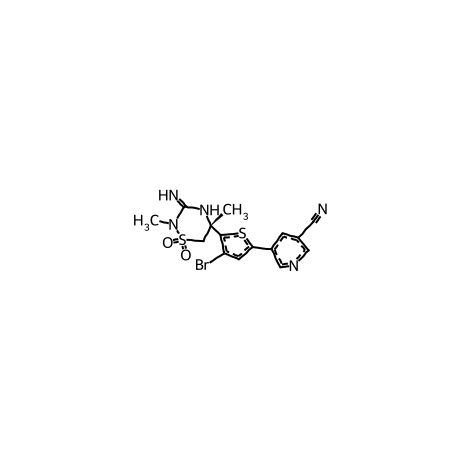 CN1C(=N)N[C@](C)(c2sc(-c3cncc(C#N)c3)cc2Br)CS1(=O)=O